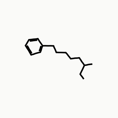 CCC(C)CCCCCc1ccccc1